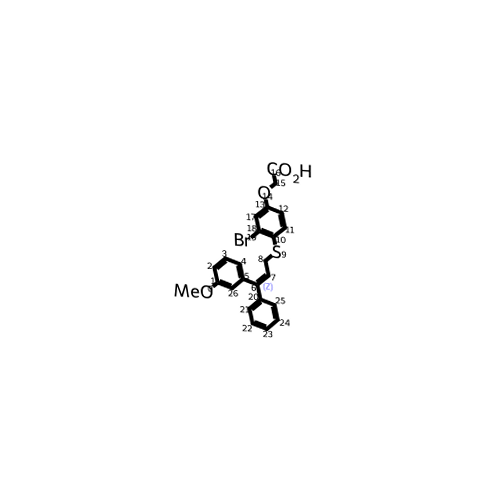 COc1cccc(/C(=C\CSc2ccc(OCC(=O)O)cc2Br)c2ccccc2)c1